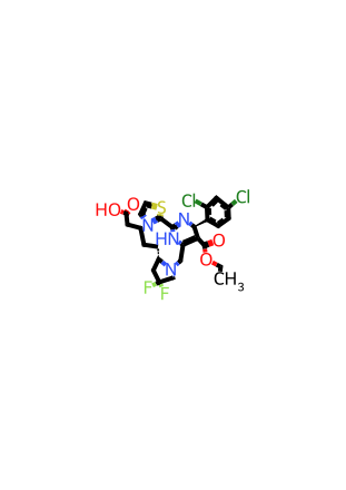 CCOC(=O)C1=C(CN2CC(F)(F)C[C@@H]2CCCCC(=O)O)NC(c2nccs2)=N[C@H]1c1ccc(Cl)cc1Cl